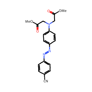 COC(=O)CN(CC(=O)OC)c1ccc(N=Nc2ccc(C#N)cc2)cc1